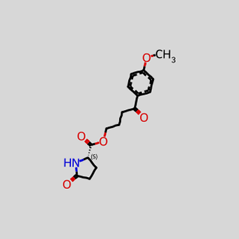 COc1ccc(C(=O)CCCOC(=O)[C@@H]2CCC(=O)N2)cc1